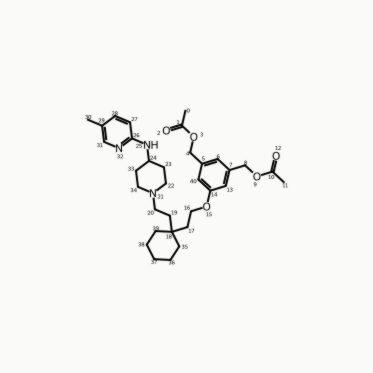 CC(=O)OCc1cc(COC(C)=O)cc(OCCC2(CCN3CCC(Nc4ccc(C)cn4)CC3)CCCCC2)c1